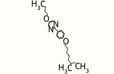 CCCCOc1cnc(-c2ccc(OCCCCCC(C)CC)cc2)nc1